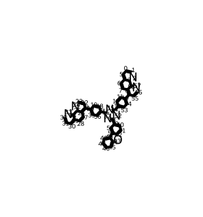 c1cnc2c(c1)ccc1c(-c3ccc(-c4nc(-c5ccc(-c6ccnc7c6ccc6cccnc67)cc5)nc(-c5ccc6oc7ccccc7c6c5)n4)cc3)ccnc12